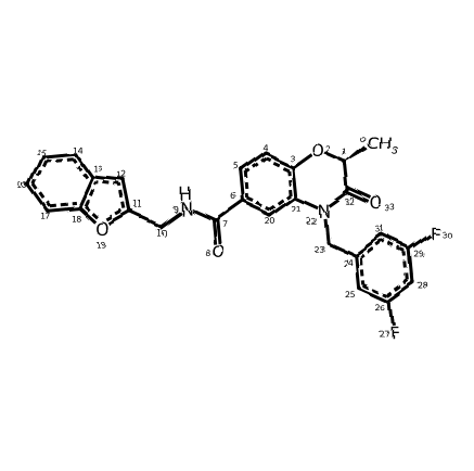 C[C@@H]1Oc2ccc(C(=O)NCc3cc4ccccc4o3)cc2N(Cc2cc(F)cc(F)c2)C1=O